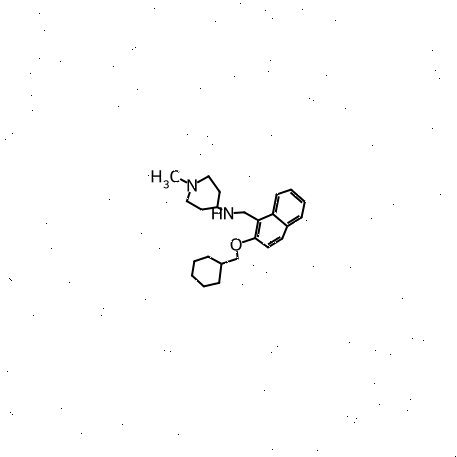 CN1CCC(NCc2c(OCC3CCCCC3)ccc3ccccc23)CC1